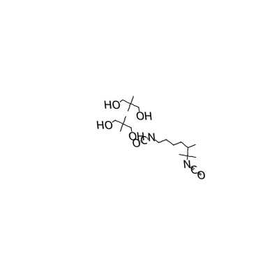 CC(C)(CO)CO.CC(C)(CO)CO.CC(CCCCN=C=O)C(C)(C)N=C=O